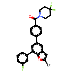 CCc1cc2cc(-c3ccc(C(=O)N4CCC(F)(F)CC4)cc3)cc(-c3cccc(F)c3)c2o1